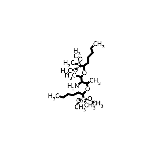 CCCCCC(OC(C)C(N)C(C)OC(CCCCC)[Si](C)(OC)OC)[Si](C)(OC)OC